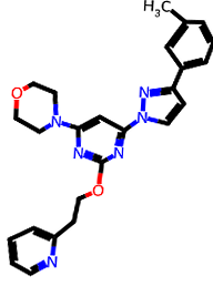 Cc1cccc(-c2ccn(-c3cc(N4CCOCC4)nc(OCCc4ccccn4)n3)n2)c1